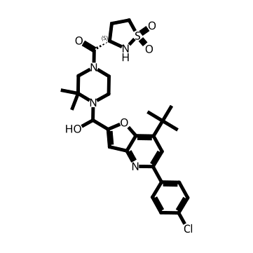 CC(C)(C)c1cc(-c2ccc(Cl)cc2)nc2cc(C(O)N3CCN(C(=O)[C@@H]4CCS(=O)(=O)N4)CC3(C)C)oc12